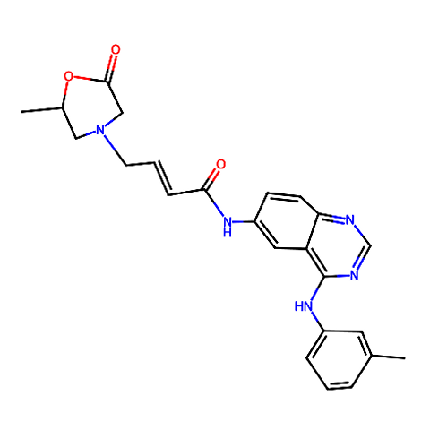 Cc1cccc(Nc2ncnc3ccc(NC(=O)C=CCN4CC(=O)OC(C)C4)cc23)c1